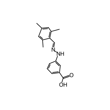 Cc1cc(C)c(/C=N/Nc2cccc(C(=O)O)c2)c(C)c1